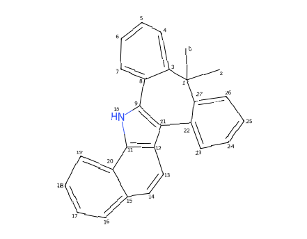 CC1(C)c2ccccc2-c2[nH]c3c(ccc4ccccc43)c2-c2ccccc21